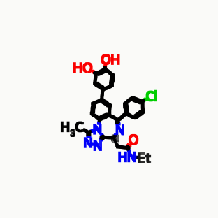 CCNC(=O)C[C@@H]1N=C(c2ccc(Cl)cc2)c2cc(-c3ccc(O)c(O)c3)ccc2-n2c(C)nnc21